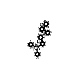 c1ccc(-c2nc(-c3ccccc3)nc(-c3cccc4c3oc3ccc(-n5c6ccccc6c6c7c(ccc65)oc5ccccc57)cc34)n2)cc1